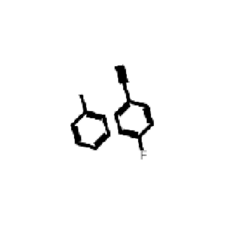 C#Cc1ccc(F)cc1.Cc1ccccc1